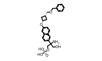 NC(CO)(COP(=O)(O)O)c1ccc2cc(O[C@H]3C[C@@H](COCc4ccccc4)C3)ccc2c1